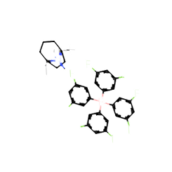 CN1[C@@H]2CCC[C@H]1CC2.Fc1cc(F)cc([B-](c2cc(F)cc(F)c2)(c2cc(F)cc(F)c2)c2cc(F)cc(F)c2)c1